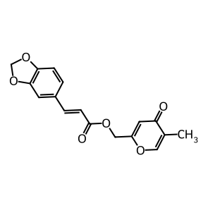 Cc1coc(COC(=O)/C=C/c2ccc3c(c2)OCO3)cc1=O